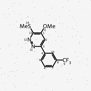 COc1cc(-c2cccc(C(F)(F)F)c2)nnc1SC